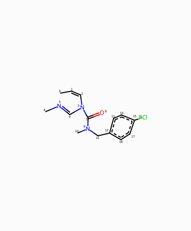 C/C=C\N(/C=N/C)C(=O)N(C)Cc1ccc(Cl)cc1